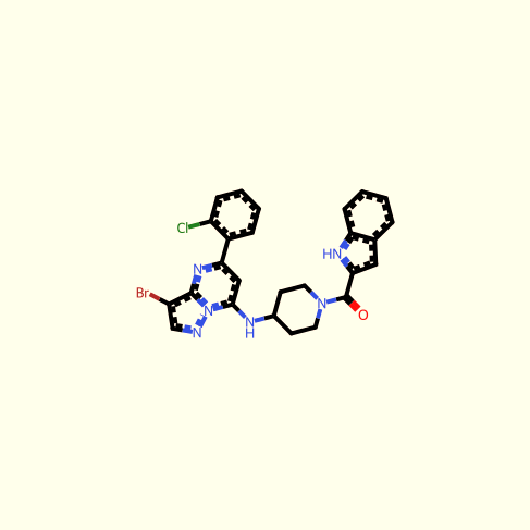 O=C(c1cc2ccccc2[nH]1)N1CCC(Nc2cc(-c3ccccc3Cl)nc3c(Br)cnn23)CC1